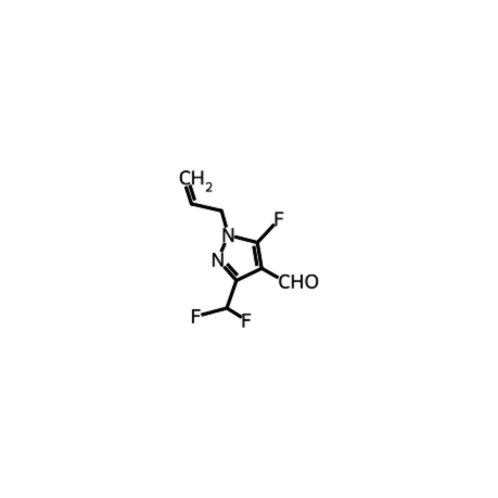 C=CCn1nc(C(F)F)c(C=O)c1F